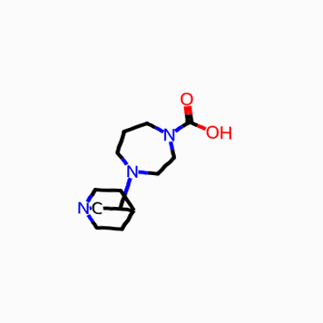 O=C(O)N1CCCN(C2CN3CCC2CC3)CC1